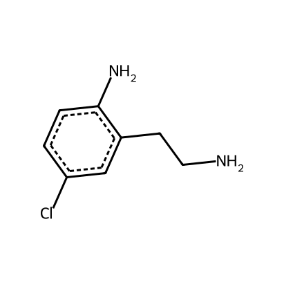 NCCc1cc(Cl)ccc1N